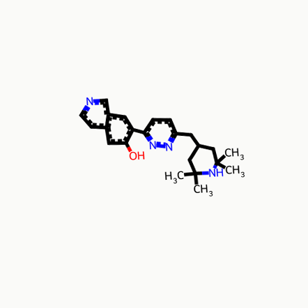 CC1(C)CC(Cc2ccc(-c3cc4cnccc4cc3O)nn2)CC(C)(C)N1